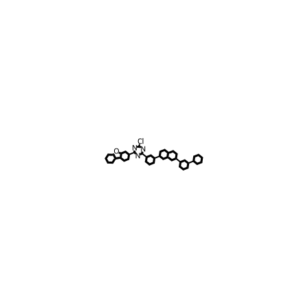 Clc1nc(-c2cccc(-c3ccc4ccc(-c5cccc(-c6ccccc6)c5)cc4c3)c2)nc(-c2ccc3c(c2)oc2ccccc23)n1